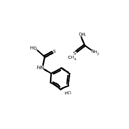 C.Cl.NC(O)=S.OC(=S)Nc1ccccc1